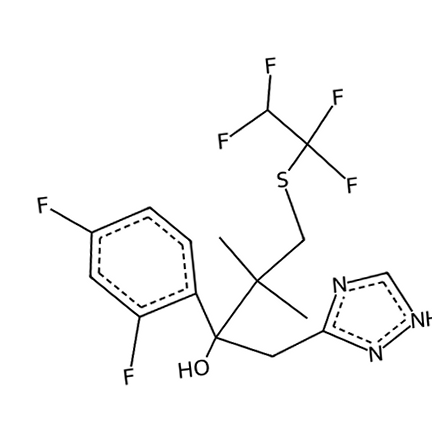 CC(C)(CSC(F)(F)C(F)F)C(O)(Cc1nc[nH]n1)c1ccc(F)cc1F